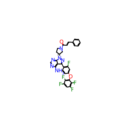 Nc1ncnc2c1c(-c1ccc(Oc3c(F)c(F)cc(F)c3F)cc1F)nn2[C@@H]1CCN(C(=O)C=Cc2ccccc2)C1